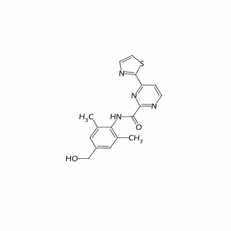 Cc1cc(CO)cc(C)c1NC(=O)c1nccc(-c2nccs2)n1